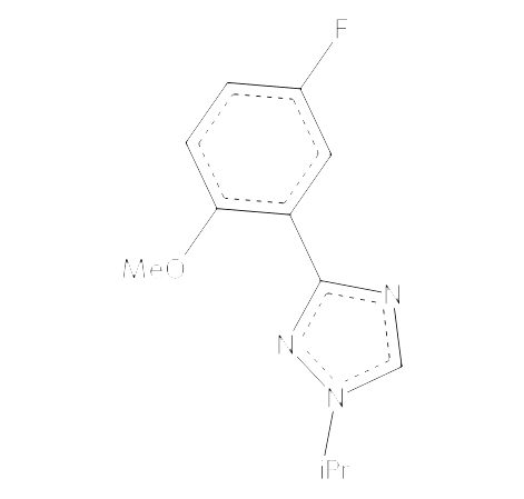 COc1ccc(F)cc1-c1ncn(C(C)C)n1